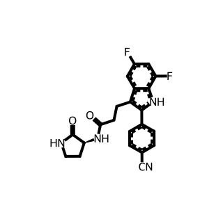 N#Cc1ccc(-c2[nH]c3c(F)cc(F)cc3c2CCC(=O)N[C@H]2CCNC2=O)cc1